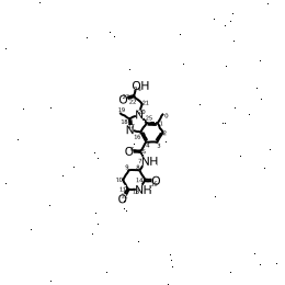 Cc1ccc(C(=O)NC2CCC(=O)NC2=O)c2nc(C)n(CC(=O)O)c12